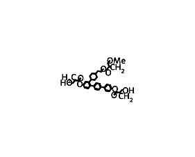 C=C(COC)C(=O)OCCC1CCC(c2cc(OC(=O)C(=C)CO)ccc2-c2ccc(-c3ccc(OC(=O)C(=C)CO)cc3)cc2)CC1